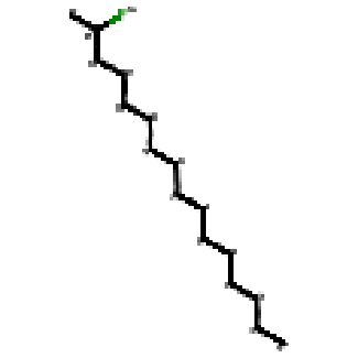 [CH2]CCCCCCCCCCCCCC(C)F